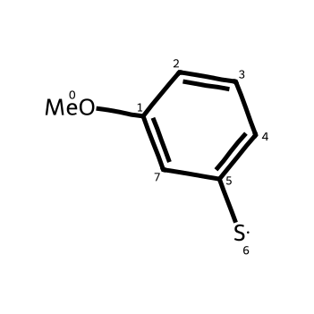 COc1cccc([S])c1